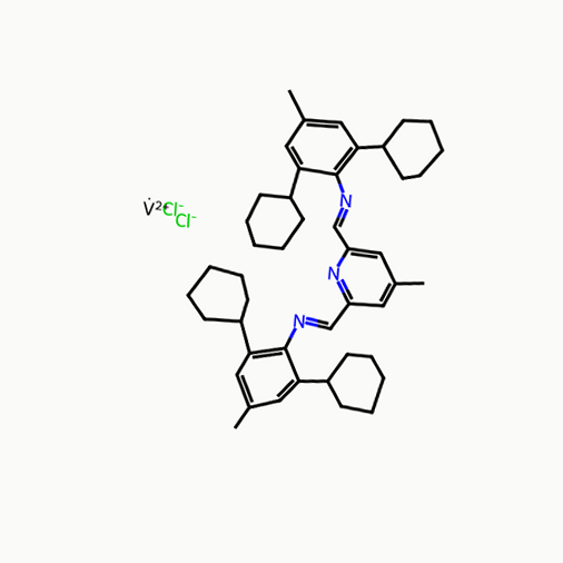 Cc1cc(C=Nc2c(C3CCCCC3)cc(C)cc2C2CCCCC2)nc(C=Nc2c(C3CCCCC3)cc(C)cc2C2CCCCC2)c1.[Cl-].[Cl-].[V+2]